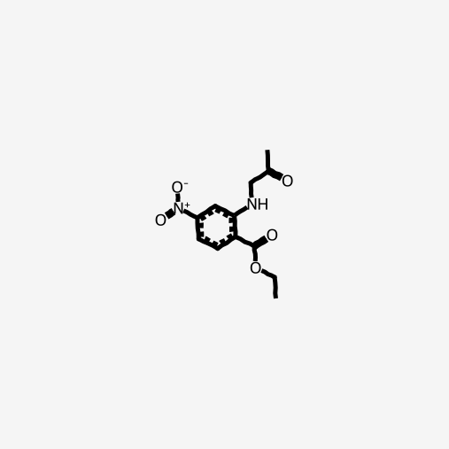 CCOC(=O)c1ccc([N+](=O)[O-])cc1NCC(C)=O